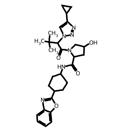 CC(C)(C)C(C(=O)N1CC(O)CC1C(=O)NC1CCC(c2nc3ccccc3o2)CC1)n1cc(C2CC2)nn1